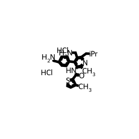 Cc1ccsc1C(=O)Nc1c(C)nc(CC(C)C)c(CN)c1-c1ccc(CN)cc1.Cl.Cl